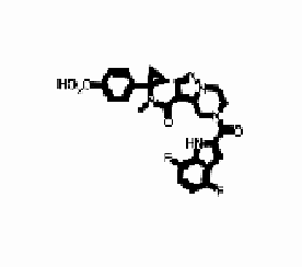 CN(C(=O)c1cnn2c1CN(C(=O)c1cc3c(F)ccc(F)c3[nH]1)CC2)C1(c2ccc(C(=O)O)cc2)CC1